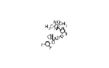 Cc1nn(-c2cc(OC3CN(C(=O)N4N=CC[C@H]4c4cc(F)cc(F)c4)C3)c(F)cn2)c(C)c1[N+](=O)[O-]